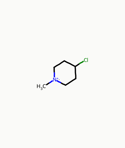 C[N+]1CCC(Cl)CC1